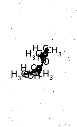 COCC(O)COc1c(C)cc(CCC(=O)n2nc(C)c3c2CC2C3C2(C)C)cc1C